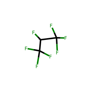 F[C](C(F)(F)F)C(F)(F)F